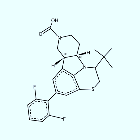 CC(C)(C)C1CSc2cc(-c3c(F)cccc3F)cc3c2N1[C@H]1CCN(C(=O)O)C[C@@H]31